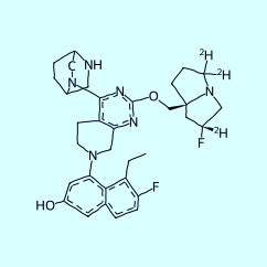 [2H]C1([2H])CC[C@@]2(COc3nc4c(c(N5CC6CCC5CN6)n3)CCN(c3cc(O)cc5ccc(F)c(CC)c35)C4)C[C@@]([2H])(F)CN12